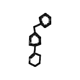 C1=C(c2ccc(Cc3ccccc3)cc2)CCCC1